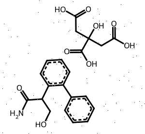 NC(=O)C(CO)c1ccccc1-c1ccccc1.O=C(O)CC(O)(CC(=O)O)C(=O)O